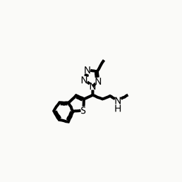 CNCCC(c1cc2ccccc2s1)n1nnc(C)n1